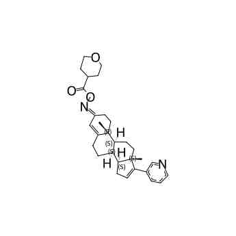 C[C@]12CCC(=NOC(=O)C3CCOCC3)C=C1CC[C@H]1[C@@H]2CC[C@]2(C)C(c3cccnc3)=CC[C@@H]12